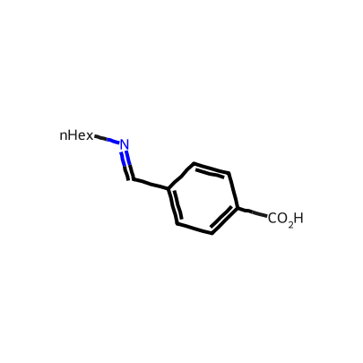 CCCCCCN=Cc1ccc(C(=O)O)cc1